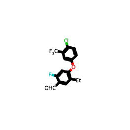 CCc1cc(C=O)c(F)cc1Oc1ccc(Cl)c(C(F)(F)F)c1